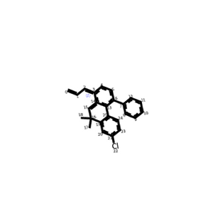 C=C/C=c1/ccc(-c2ccccc2)c2c1=CC(C)(C)c1cc(Cl)ccc1-2